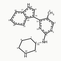 Cc1cnc(N[C@H]2CCCNC2)nc1-c1c[nH]c2ccccc12